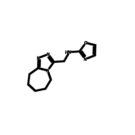 c1coc(NCc2nnc3n2CCCCC3)n1